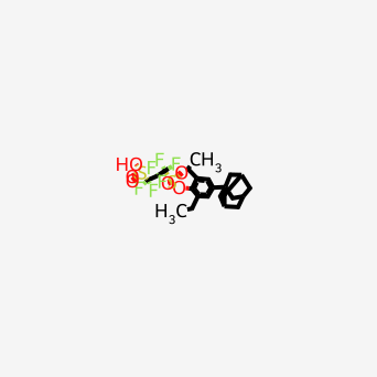 CCc1cc(C23CC4CC(CC(C4)C2)C3)cc(CC)c1OS(=O)(=O)C(F)(F)C(F)(F)C(F)(F)S(=O)(=O)O